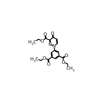 CCOC(=O)c1cc(C(=O)OCC)cc(-n2ccc(=O)c(C(=O)OCC)n2)c1